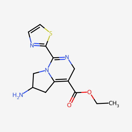 CCOC(=O)C1=C2CC(N)CN2C(c2nccs2)=NC1